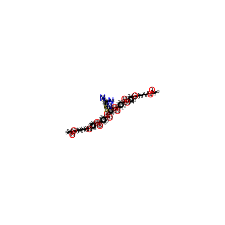 C=CC(=O)OCCCCCCOc1ccc(OC(=O)C2CCC(C(=O)Oc3ccc(OC(=O)C4CCC(C(=O)Oc5ccc(OCCCCCCOC(=O)C=C)cc5)CC4)c4sc(C=C(C#N)C#N)nc34)CC2)cc1